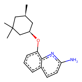 C[C@H]1C[C@@H](Oc2cccc3ccc(N)nc23)CC(C)(C)C1